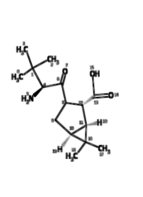 CC(C)(C)[C@H](N)C(=O)C1C[C@H]2[C@@H]([C@H]1C(=O)O)C2(C)C